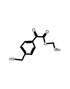 CC(C)(C)COC(=O)C(=O)c1ccc(CS)cc1